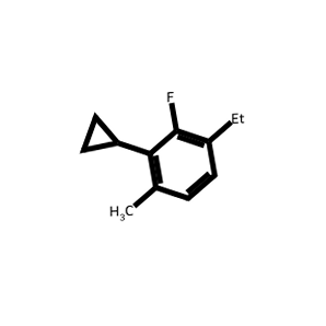 CCc1ccc(C)c(C2CC2)c1F